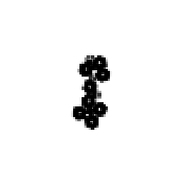 c1ccc(N(c2ccc3c(c2)oc2cc(C4(c5ccccc5)c5ccccc5-c5ccccc54)ccc23)c2cccc3oc4ccccc4c23)cc1